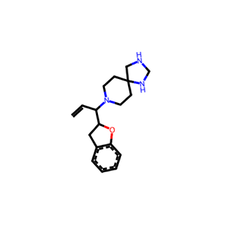 C=CC(C1Cc2ccccc2O1)N1CCC2(CC1)CNCN2